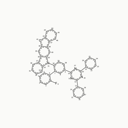 Fc1ccccc1-c1cc(-c2nc(-c3ccccc3)nc(-c3ccccc3)n2)ccc1-n1c2ccccc2c2cc3oc4ccccc4c3cc21